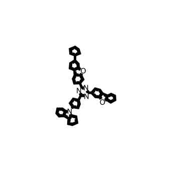 c1ccc(-c2ccc3c(c2)oc2cc(-c4nc(-c5ccc(-n6c7ccccc7c7ccccc76)cc5)nc(-c5ccc6c(c5)oc5ccccc56)n4)ccc23)cc1